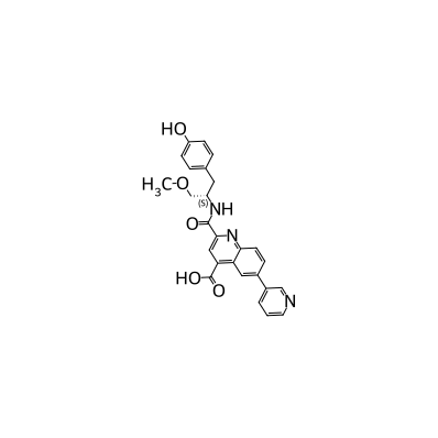 COC[C@H](Cc1ccc(O)cc1)NC(=O)c1cc(C(=O)O)c2cc(-c3cccnc3)ccc2n1